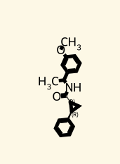 COc1cccc(C(C)NC(=O)[C@@H]2C[C@H]2c2ccccc2)c1